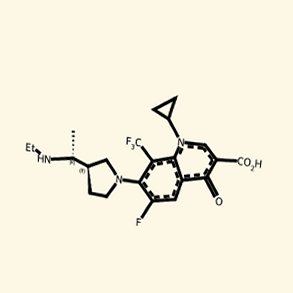 CCN[C@H](C)[C@@H]1CCN(c2c(F)cc3c(=O)c(C(=O)O)cn(C4CC4)c3c2C(F)(F)F)C1